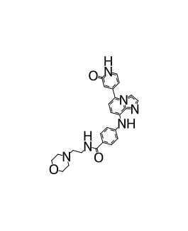 O=C(NCCN1CCOCC1)c1ccc(Nc2ccc(-c3cc[nH]c(=O)c3)n3ccnc23)cc1